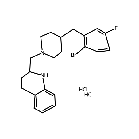 Cl.Cl.Fc1ccc(Br)c(CC2CCN(CC3CCc4ccccc4N3)CC2)c1